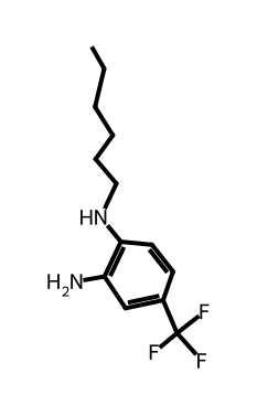 CCCCCCNc1ccc(C(F)(F)F)cc1N